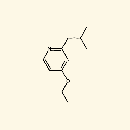 CCOc1ccnc(CC(C)C)n1